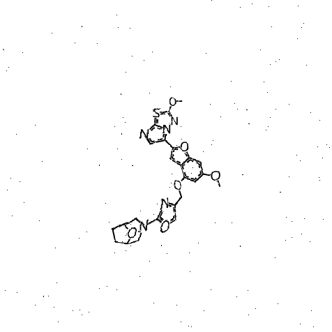 COc1cc(OCc2coc(N3CC4CCC(C3)O4)n2)c2cc(-c3cnc4sc(OC)nn34)oc2c1